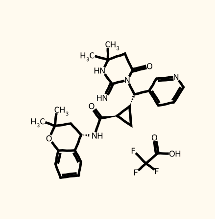 CC1(C)CC(=O)N(C(c2cccnc2)[C@@H]2C[C@H]2C(=O)N[C@H]2CC(C)(C)Oc3ccccc32)C(=N)N1.O=C(O)C(F)(F)F